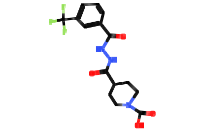 O=C(NNC(=O)C1CCN(C(=O)O)CC1)c1cccc(C(F)(F)F)c1